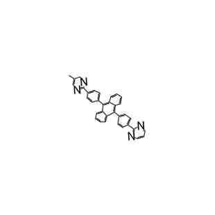 Cc1cnc(-c2ccc(-c3c4ccccc4c(-c4ccc(-c5ncccn5)cc4)c4ccccc34)cc2)nc1